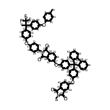 Cc1ccc(Oc2ccc(C(C)(c3ccc(Oc4ccc(N5C(=O)c6ccc(Oc7ccc(C8(c9ccc(Oc%10ccc%11c(c%10)C(=O)N(C)C%11=O)cc9)c9ccccc9-c9ccccc98)cc7)cc6C5=O)cc4)cc3)C(F)(F)F)cc2)cc1